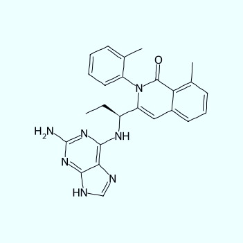 CC[C@H](Nc1nc(N)nc2[nH]cnc12)c1cc2cccc(C)c2c(=O)n1-c1ccccc1C